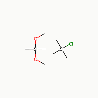 CO[Si](C)(C)OC.C[Si](C)(C)Cl